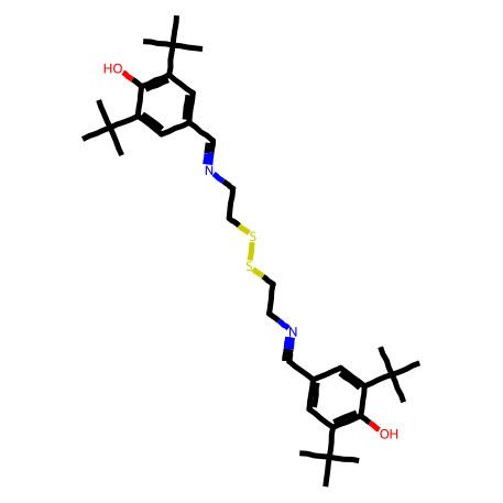 CC(C)(C)c1cc(C=NCCSSCCN=Cc2cc(C(C)(C)C)c(O)c(C(C)(C)C)c2)cc(C(C)(C)C)c1O